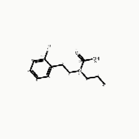 CCCN(CCc1ccccc1Cl)C(=O)O